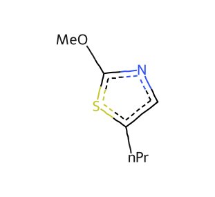 CCCc1cnc(OC)s1